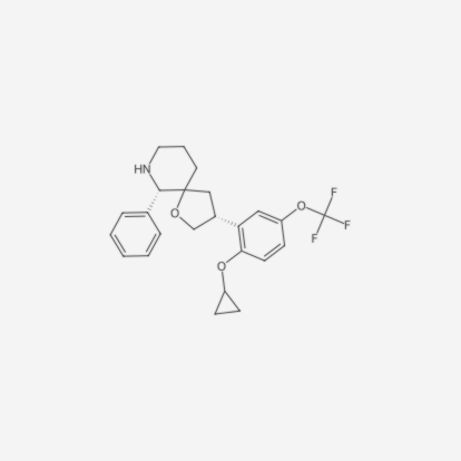 FC(F)(F)Oc1ccc(OC2CC2)c([C@@H]2COC3(CCCN[C@H]3c3ccccc3)C2)c1